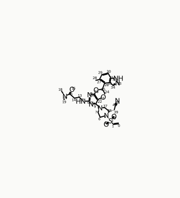 C=CS(=O)(=O)N1CCN(c2nc(NCCC(=O)N(C)C)nc3c2OCC(c2c(C)ccc4[nH]ncc24)O3)C[C@@H]1CC#N